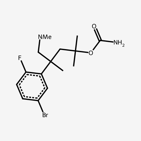 CNCC(C)(CC(C)(C)OC(N)=O)c1cc(Br)ccc1F